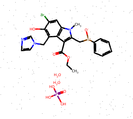 CCOC(=O)c1c(C[S+]([O-])c2ccccc2)n(C)c2cc(Br)c(O)c(Cn3ccnc3)c12.O.O.O=P(O)(O)O